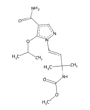 COC(=O)NC(C)(C)/C=C/n1ncc(C(N)=O)c1OC(C)C